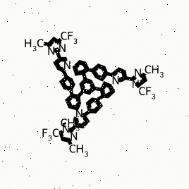 CC1=CC(C(F)(F)F)N(C)C(c2ccc(-c3ccc(-c4ccccc4-c4cc(-c5ccccc5-c5ccc(-c6ccc(-c7nc(C)cc(C(F)(F)F)n7)cn6)cc5)cc(-c5ccccc5-c5ccc(-c6ccc(-c7nc(C)cc(C(F)(F)F)n7)cn6)cc5)c4)cc3)nc2)=N1